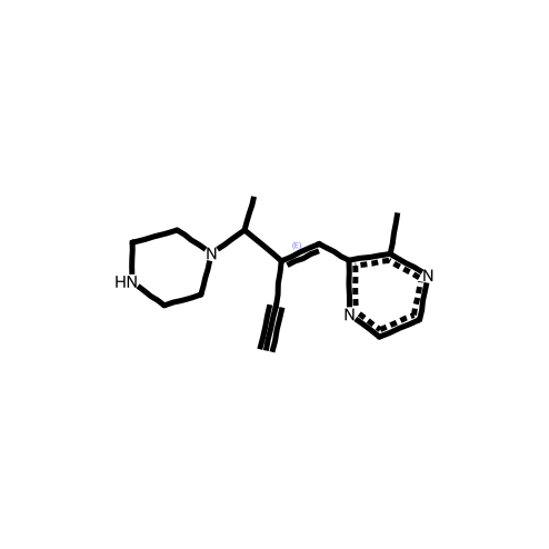 C#C/C(=C\c1nccnc1C)C(C)N1CCNCC1